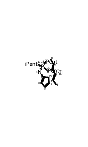 CC=CC=CC.CCCC(C)P(=NC1=CC=CC1)(C(C)CCC)C(C)CCC.[Ti]